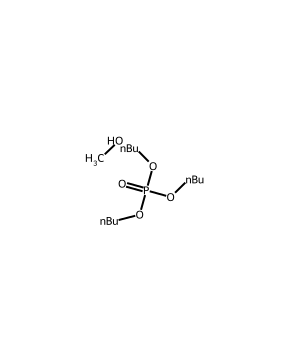 CCCCOP(=O)(OCCCC)OCCCC.CO